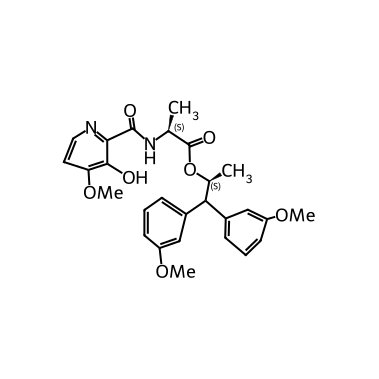 COc1cccc(C(c2cccc(OC)c2)[C@H](C)OC(=O)[C@H](C)NC(=O)c2nccc(OC)c2O)c1